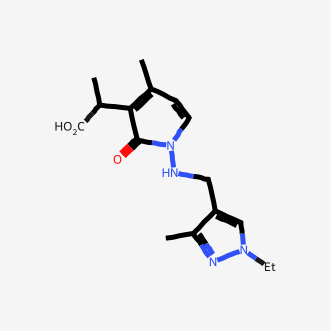 CCn1cc(CNn2ccc(C)c(C(C)C(=O)O)c2=O)c(C)n1